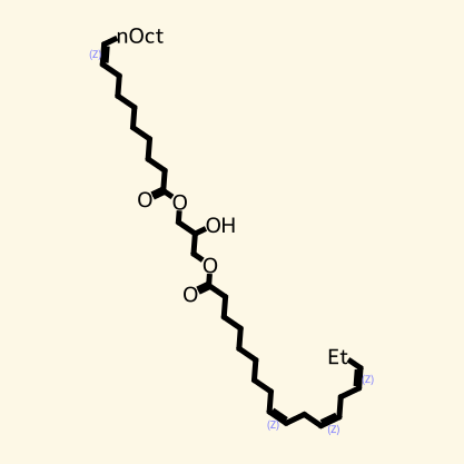 CC/C=C\C/C=C\C/C=C\CCCCCCCC(=O)OCC(O)COC(=O)CCCCCCC/C=C\CCCCCCCC